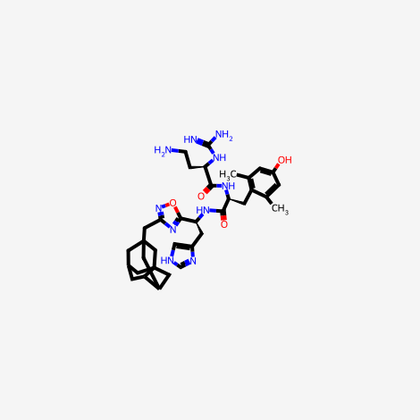 Cc1cc(O)cc(C)c1C[C@H](NC(=O)[C@@H](CCN)NC(=N)N)C(=O)N[C@@H](Cc1c[nH]cn1)c1nc(CC23CC4CC5C(C2)CC5(C4)C3)no1